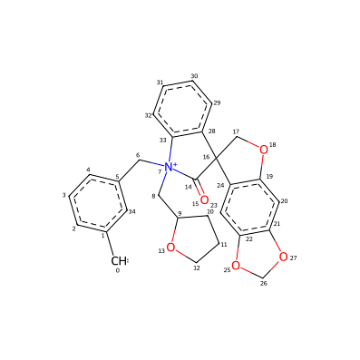 [CH]c1cccc(C[N+]2(CC3CCCO3)C(=O)C3(COc4cc5c(cc43)OCO5)c3ccccc32)c1